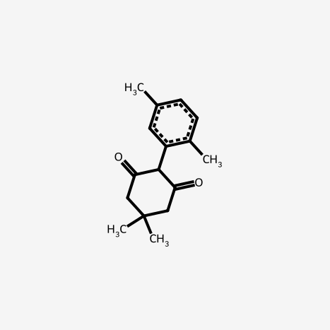 Cc1ccc(C)c(C2C(=O)CC(C)(C)CC2=O)c1